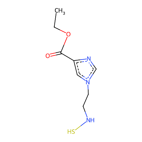 CCOC(=O)c1cn(CCNS)cn1